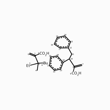 C=C(C(=O)O)C(C)(CC)C(C)CC.C=C(C(=O)O)C(Cc1ccccc1)c1ccccc1